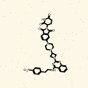 O=C1CCC(N2C(=O)c3ccc(N4CCN(C5CN(c6nc(NCCc7ccc([N+](=O)[O-])cc7)c7ccccc7n6)C5)CC4)cc3C2=O)C(=O)N1